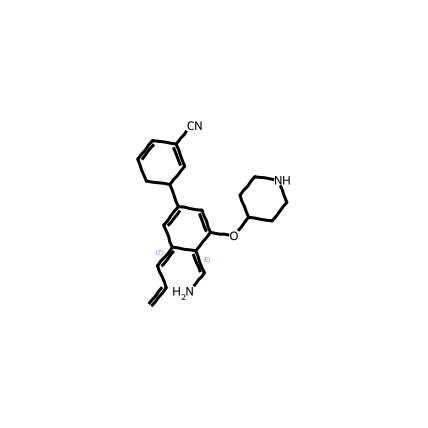 C=C/C=c1/cc(C2C=C(C#N)C=CC2)cc(OC2CCNCC2)/c1=C/N